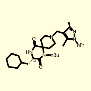 CCCCN1C(=O)[C@H](CC2CCCCC2)NC(=O)C12CCN(Cc1c(C)nn(CCC)c1C)CC2